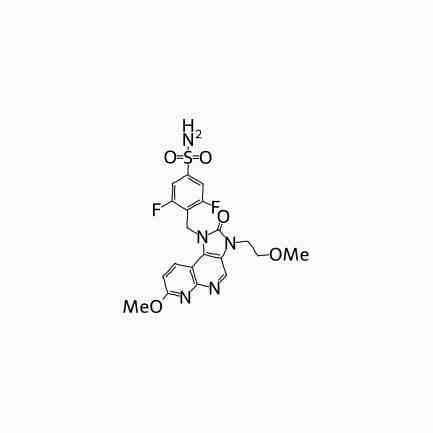 COCCn1c(=O)n(Cc2c(F)cc(S(N)(=O)=O)cc2F)c2c3ccc(OC)nc3ncc21